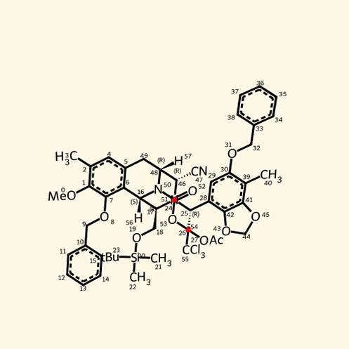 COc1c(C)cc2c(c1OCc1ccccc1)[C@H]1[C@H](CO[Si](C)(C)C(C)(C)C)N([C@@H](COC(C)=O)c3cc(OCc4ccccc4)c(C)c4c3OCO4)[C@@H](C#N)[C@@H](C2)N1C(=O)OCC(Cl)(Cl)Cl